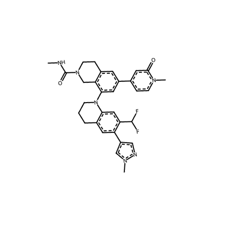 CNC(=O)N1CCc2cc(-c3ccn(C)c(=O)c3)cc(N3CCCc4cc(-c5cnn(C)c5)c(C(F)F)cc43)c2C1